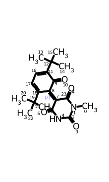 CN1C(=O)NC(=O)/C(=C2/C(=O)C(C(C)(C)C)=CC=C2C(C)(C)C)C1=O